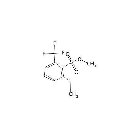 CCc1cccc(C(F)(F)F)c1S(=O)(=O)OC